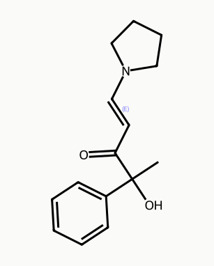 CC(O)(C(=O)/C=C/N1CCCC1)c1ccccc1